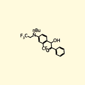 CCCCN(CC(F)(F)F)c1ccc(C(O)C(=O)c2ccccc2)c(C(F)(F)F)c1